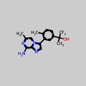 Cc1cn2c(-c3cc(C(C)(O)C(F)(F)F)ccc3C)cnc2c(N)n1